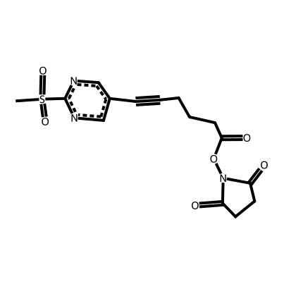 CS(=O)(=O)c1ncc(C#CCCCC(=O)ON2C(=O)CCC2=O)cn1